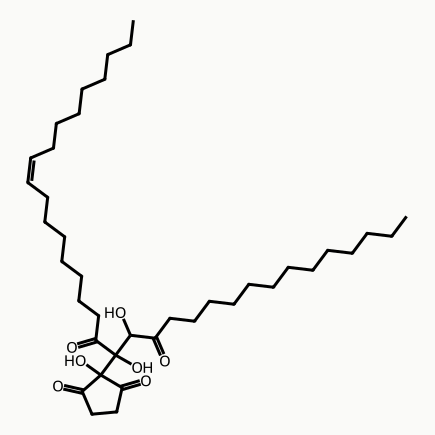 CCCCCCCC/C=C\CCCCCCCC(=O)C(O)(C(O)C(=O)CCCCCCCCCCCCC)C1(O)C(=O)CCC1=O